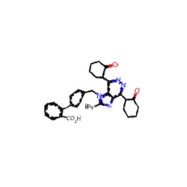 CC(C)c1nc2c(C3CCCCC3=O)nnc(C3CCCCC3=O)c2n1Cc1ccc(-c2ccccc2C(=O)O)cc1